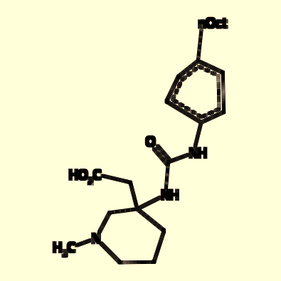 CCCCCCCCc1ccc(NC(=O)NC2(CC(=O)O)CCCN(C)C2)cc1